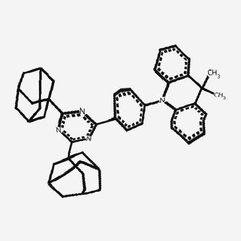 CC1(C)c2ccccc2N(c2ccc(-c3nc(C45CC6CC(CC(C6)C4)C5)nc(C45CC6CC(CC(C6)C4)C5)n3)cc2)c2ccccc21